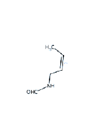 C/C=C\CNC=O